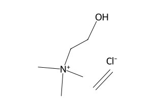 C=C.C[N+](C)(C)CCO.[Cl-]